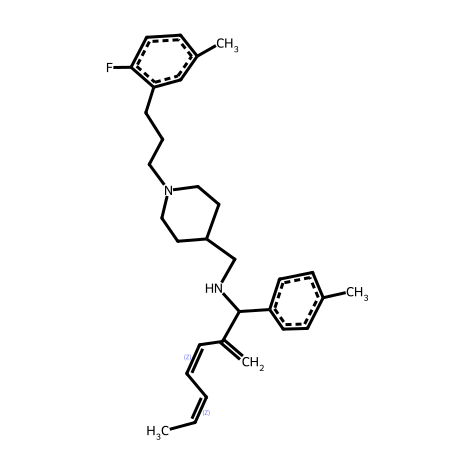 C=C(/C=C\C=C/C)C(NCC1CCN(CCCc2cc(C)ccc2F)CC1)c1ccc(C)cc1